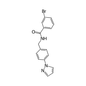 O=C(NCc1ccc(-n2cccn2)cc1)c1cccc(Br)c1